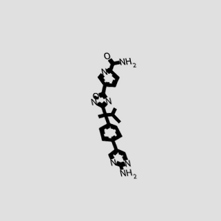 CC(C)C(C)(c1ccc(-c2cnc(N)nc2)cc1)c1noc(-c2ccc(C(N)=O)nc2)n1